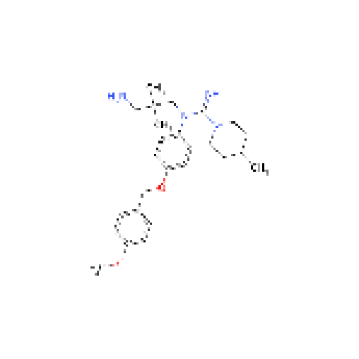 CC1CCN(C(=N)N(CC(C)(C)CN)c2ccc(OCc3ccc(OC(F)(F)F)cc3)cc2)CC1